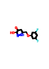 O=c1cc(COc2cc(F)cc(F)c2)[nH]nc1O